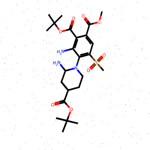 COC(=O)c1cc(S(C)(=O)=O)c(N2CCC(C(=O)OC(C)(C)C)CC2N)c(N)c1C(=O)OC(C)(C)C